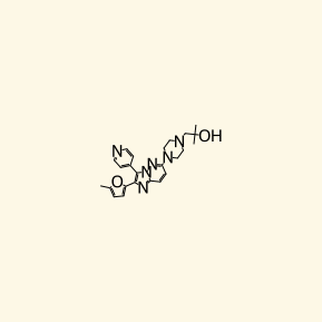 Cc1ccc(-c2nc3ccc(N4CCN(CC(C)(C)O)CC4)nn3c2-c2ccncc2)o1